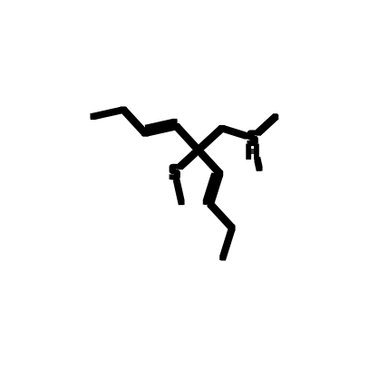 CCC=CC(C=CCC)(C[SH](C)C)SC